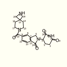 O=C1CCC(N2Cc3cc(C(=O)N4CCC5(CC4)CNC5)ccc3C2=O)C(=O)N1